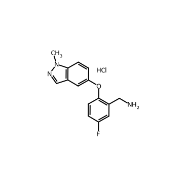 Cl.Cn1ncc2cc(Oc3ccc(F)cc3CN)ccc21